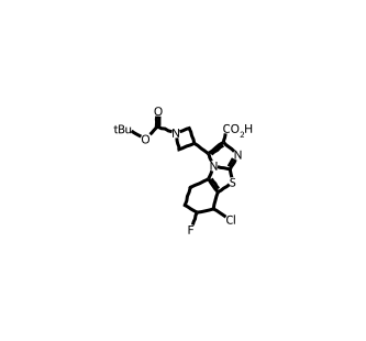 CC(C)(C)OC(=O)N1CC(c2c(C(=O)O)nc3sc4c(n23)CCC(F)C4Cl)C1